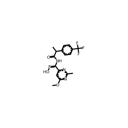 COc1cc(/C(=N\O)NC(=O)C(C)c2ccc(C(F)(F)F)cc2)nc(C)n1